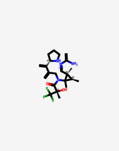 C=C(N)/N=C\[C@@]1(C)[C@@H](C)C1(C)N(CC(=C)C(=C)[C@@H]1CCCN1)C(=O)[C@](C)(O)C(F)(F)F